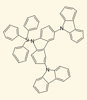 c1ccc([Si](c2ccccc2)(c2ccccc2)n2c3ccc(-n4c5ccccc5c5ccccc54)cc3c3cc(-n4c5ccccc5c5ccccc54)ccc32)cc1